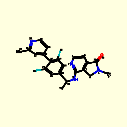 CCN1Cc2c(ccnc2NC(C)c2cc(F)c(-c3ccnc(C(C)(C)C)c3)c(F)c2)C1=O